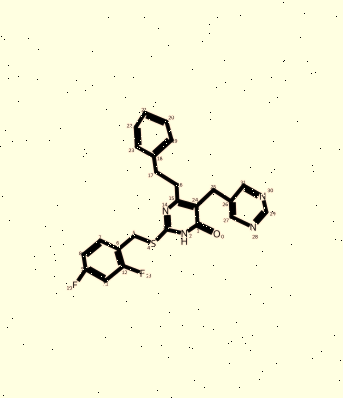 O=c1[nH]c(SCc2ccc(F)cc2F)nc(CCc2ccccc2)c1Cc1cncnc1